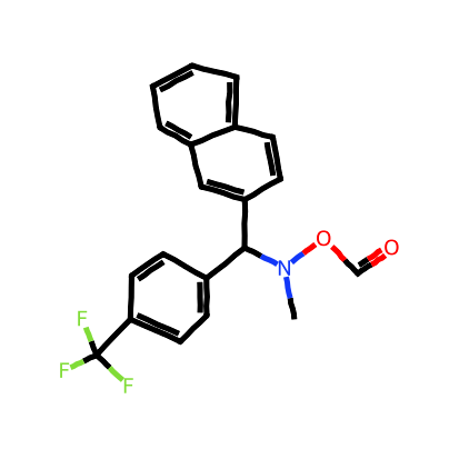 CN(OC=O)C(c1ccc(C(F)(F)F)cc1)c1ccc2ccccc2c1